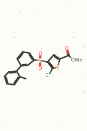 COC(=O)c1cc(S(=O)(=O)c2cccc(-c3ccccc3C)c2)c(Cl)s1